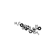 Cc1ccc(S(=O)(=O)n2ccc3c(N4CCCC(N(C)C(=O)CNc5ccccc5)C4)ncnc32)cc1